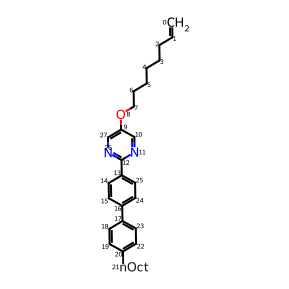 C=CCCCCCCOc1cnc(-c2ccc(-c3ccc(CCCCCCCC)cc3)cc2)nc1